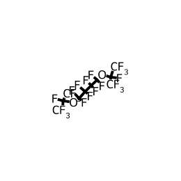 FC(F)(F)C(F)(OC(F)(F)C(F)(F)C(F)(F)C(F)(F)OC(F)(C(F)(F)F)C(F)(F)F)C(F)(F)F